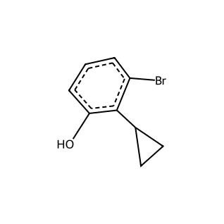 Oc1cccc(Br)c1C1CC1